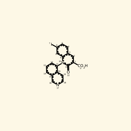 O=C(O)c1cc2ccc(I)cc2n(-c2cccc3cnccc23)c1=O